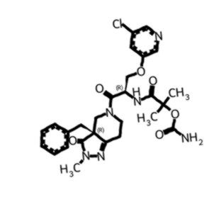 CN1N=C2CCN(C(=O)[C@@H](COc3cncc(Cl)c3)NC(=O)C(C)(C)OC(N)=O)C[C@@]2(Cc2ccccc2)C1=O